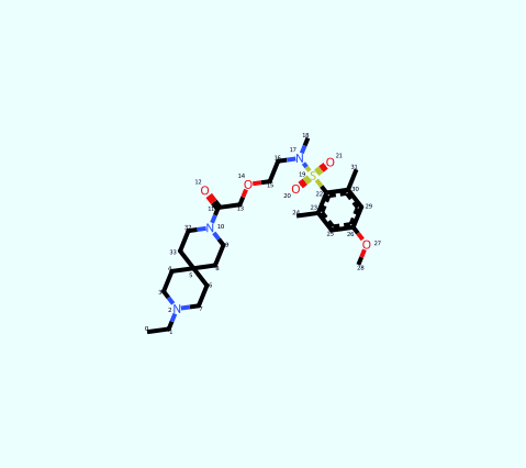 CCN1CCC2(CC1)CCN(C(=O)COCCN(C)S(=O)(=O)c1c(C)cc(OC)cc1C)CC2